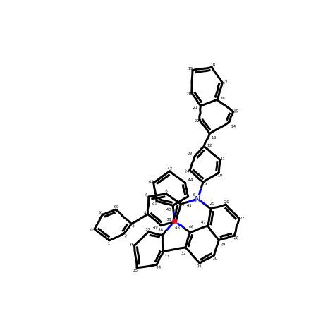 c1ccc(-c2ccc(N(c3ccc(-c4ccc5ccccc5c4)cc3)c3cccc4ccc5c6ccccc6n(-c6ccccc6)c5c34)cc2)cc1